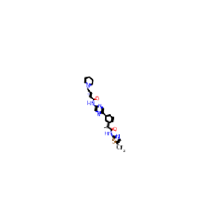 C[C@H](C(=O)Nc1ncc(C(F)(F)F)s1)c1cccc(-c2cnc(NC(=O)/C=C/CN3CCCCC3)cn2)c1